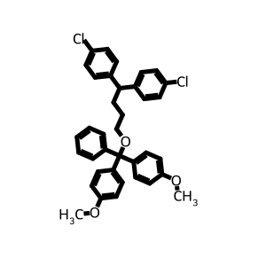 COc1ccc(C(OCCC[C](c2ccc(Cl)cc2)c2ccc(Cl)cc2)(c2ccccc2)c2ccc(OC)cc2)cc1